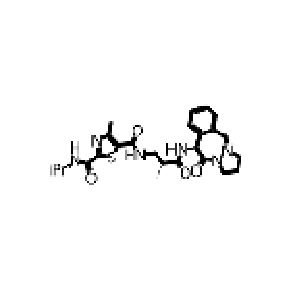 Cc1nc(C(=O)NC(C)C)sc1C(=O)NC[C@@H](C)C(=O)N[C@@H]1C(=O)N2CCCN2Cc2ccccc21